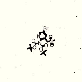 CC(C)(C)OC(=O)N(C(=O)OC(C)(C)C)c1ncc(Br)cc1CS(C)(=O)=O